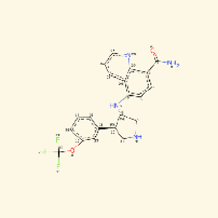 NC(=O)c1ccc(N[C@@H]2CNC[C@H]2c2cccc(OC(F)(F)F)c2)c2cccnc12